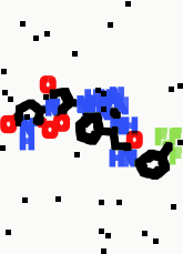 O=C1CCC(N2C(=O)C=C(Nc3cccc(C(CC(=O)Nc4cccc(C(F)(F)F)c4)Nc4nn[nH]n4)c3)C2=O)C(=O)N1